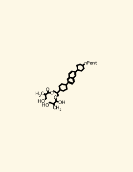 C=C(CO)C(=O)OCC(COC(O)C(=C)CO)C1CCC(c2ccc3cc(C4CCC(CCCCC)CC4)ccc3c2)CC1